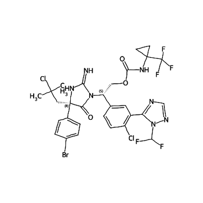 CC(C)(Cl)C[C@]1(c2ccc(Br)cc2)NC(=N)N([C@H](COC(=O)NC2(C(F)(F)F)CC2)c2ccc(Cl)c(-c3ncnn3C(F)F)c2)C1=O